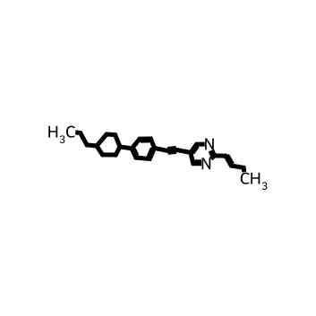 CC/C=C/c1ncc(C#Cc2ccc(C3CCC(CCC)CC3)cc2)cn1